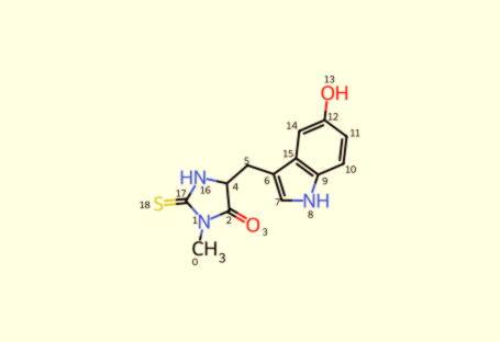 CN1C(=O)C(Cc2c[nH]c3ccc(O)cc23)NC1=S